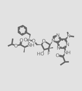 CC(C)OC(=O)[C@H](C)N[P@@](=O)(Cc1ccccc1)OC[C@H]1O[C@@H](n2cnc3c(N(C)C)nc(NC(=O)C(C)C)nc32)[C@](C)(F)[C@@H]1O